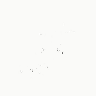 Cc1cc(C(C)F)cc2c1cc(Cc1c(Cl)ccc(C(=O)N3CCOCC3)c1Cl)n2C